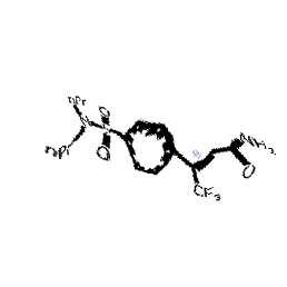 CCCN(CCC)S(=O)(=O)c1ccc(/C(=C/C(N)=O)C(F)(F)F)cc1